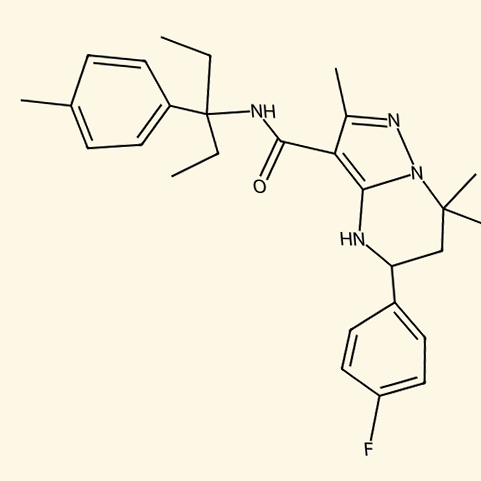 CCC(CC)(NC(=O)c1c(C)nn2c1NC(c1ccc(F)cc1)CC2(C)C)c1ccc(C)cc1